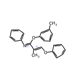 CC(=C\Oc1ccccc1)/C(=N/c1ccccc1)Oc1cccc(C)c1